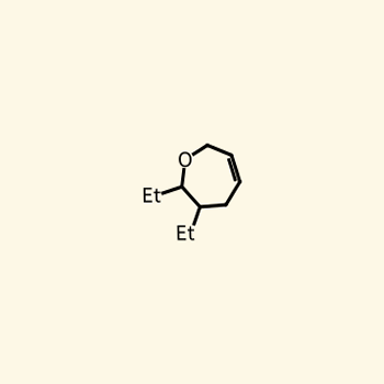 CCC1CC=CCOC1CC